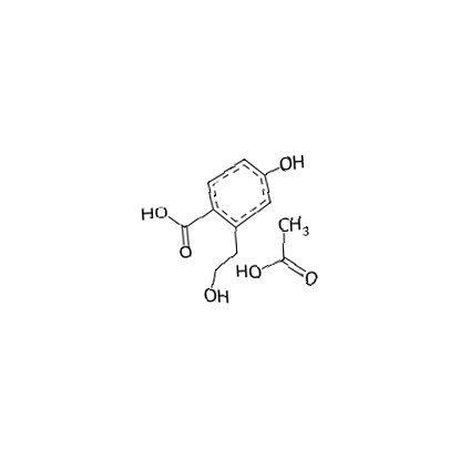 CC(=O)O.O=C(O)c1ccc(O)cc1CCO